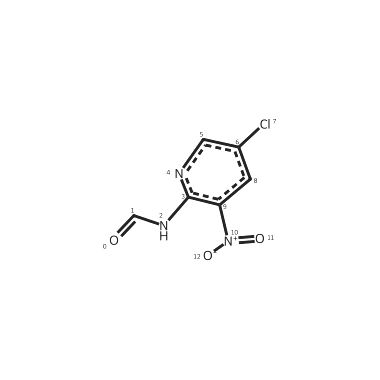 O=CNc1ncc(Cl)cc1[N+](=O)[O-]